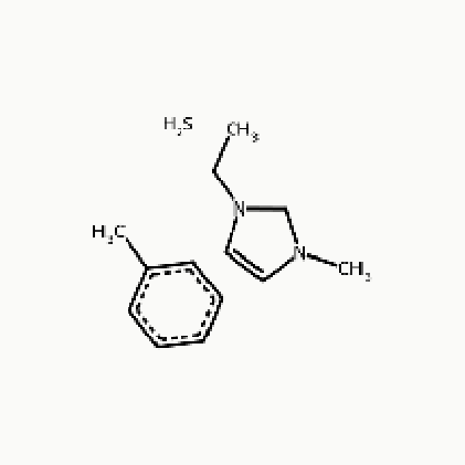 CCN1C=CN(C)C1.Cc1ccccc1.S